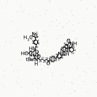 Cc1ncsc1-c1ccc(CNC(=O)[C@@H]2C[C@@H](O)CN2C(=O)[C@@H](NC(=O)CCCCC(=O)N2CCN(c3ccc(Nc4ncc5cc6n(c5n4)C4(CCCCC4)CNC6=O)nc3)CC2)C(C)(C)C)cc1